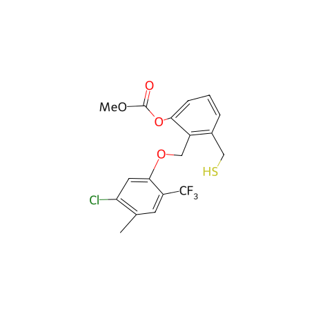 COC(=O)Oc1cccc(CS)c1COc1cc(Cl)c(C)cc1C(F)(F)F